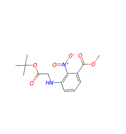 COC(=O)c1cccc(NCC(=O)OC(C)(C)C)c1[N+](=O)[O-]